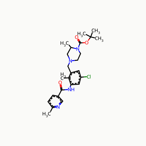 Cc1ccc(C(=O)Nc2cc(Cl)cc(CN3CCN(C(=O)OC(C)(C)C)C(C)C3)c2C)cn1